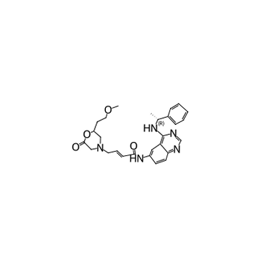 COCCC1CN(CC=CC(=O)Nc2ccc3ncnc(N[C@H](C)c4ccccc4)c3c2)CC(=O)O1